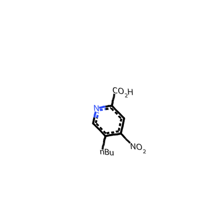 CCCCc1cnc(C(=O)O)cc1[N+](=O)[O-]